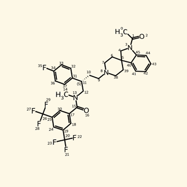 CC(=O)N1CC2(CCN(CC[C@H](CN(C)C(=O)c3cc(C(F)(F)F)cc(C(F)(F)F)c3)c3ccc(F)cc3)CC2)c2ccccc21